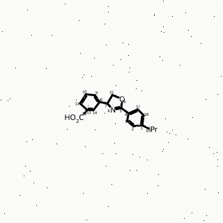 CC(C)c1ccc(C2=NC(c3cccc(C(=O)O)c3)CO2)cc1